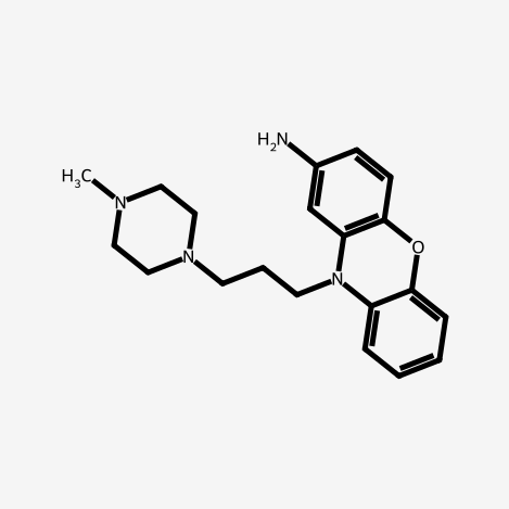 CN1CCN(CCCN2c3ccccc3Oc3ccc(N)cc32)CC1